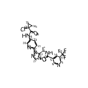 CC(NC(=O)c1cncc(C(F)(F)F)c1)c1ncnn1-c1ccc(NC(=O)C2(Cl)CC2)cn1